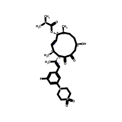 C/C(=C\c1cc(F)cc(N2CCS(=O)(=O)CC2)c1)[C@H]1C(=O)C(=O)C[C@H](O)CC[C@H](C)[C@@H](OC(=O)N(C)C)/C=C/[C@@H]1C